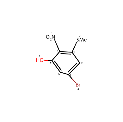 CSc1cc(Br)cc(O)c1[N+](=O)[O-]